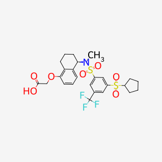 CN([C@@H]1CCCc2c(OCC(=O)O)cccc21)S(=O)(=O)c1cc(C(F)(F)F)cc(S(=O)(=O)C2CCCC2)c1